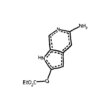 CCOC(=O)Oc1cc2cc(N)ncc2[nH]1